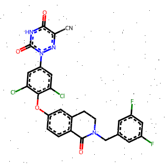 N#Cc1nn(-c2cc(Cl)c(Oc3ccc4c(c3)CCN(Cc3cc(F)cc(F)c3)C4=O)c(Cl)c2)c(=O)[nH]c1=O